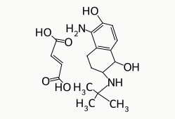 CC(C)(C)NC1CCc2c(ccc(O)c2N)C1O.O=C(O)C=CC(=O)O